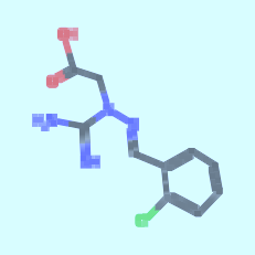 N=C(N)N(CC(=O)O)N=Cc1ccccc1Cl